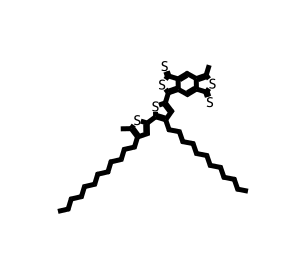 CCCCCCCCCCCCc1cc(-c2sc(C3=c4cc5c(cc4C(=S)S3)=C(C)SC5=S)cc2CCCCCCCCCCCC)sc1C